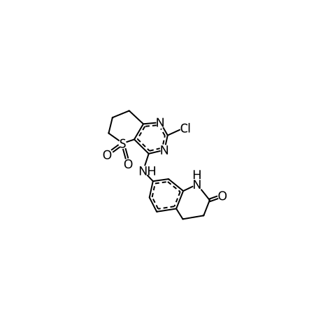 O=C1CCc2ccc(Nc3nc(Cl)nc4c3S(=O)(=O)CCC4)cc2N1